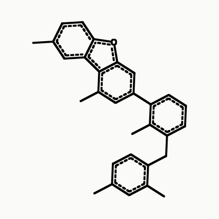 Cc1ccc(Cc2cccc(-c3cc(C)c4c(c3)oc3ccc(C)cc34)c2C)c(C)c1